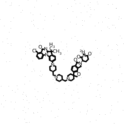 [2H]N1C(=O)CC[C@H](N2Cc3c(ccc4c3OCC43CCN(CC4CCN(CC5CCN(c6ccc7c(c6)-n6c(nc(=O)c8c(Cl)cccc86)C7(C)C)CC5)CC4)CC3)C2=O)C1=O